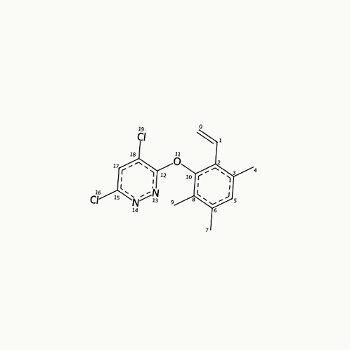 C=Cc1c(C)cc(C)c(C)c1Oc1nnc(Cl)cc1Cl